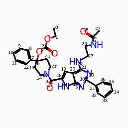 CCOC(=O)OC1(c2ccccc2)CCN(C(=O)c2cc3c(NCCNC(C)=O)nc(-c4ccccc4)nc3[nH]2)CC1